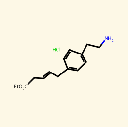 CCOC(=O)CC=CCc1ccc(CCN)cc1.Cl